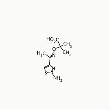 C/C(=N\OC(C)(C)C(=O)O)c1csc(N)n1